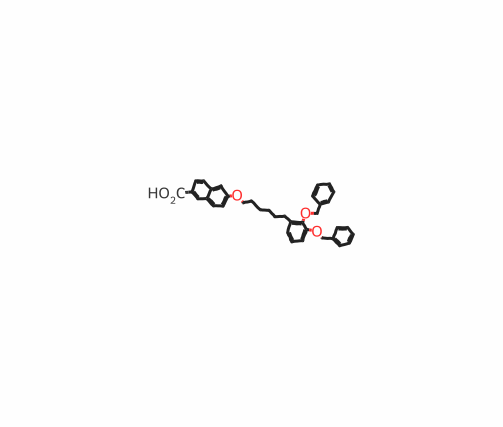 O=C(O)c1ccc2cc(OCCCCCCc3cccc(OCc4ccccc4)c3OCc3ccccc3)ccc2c1